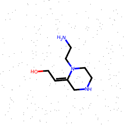 NCCN1CCNCC1=CCO